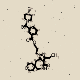 CCc1nn(CCCOC(=O)c2cccc(C(=O)N3CCN(C)CC3)c2)c2c1C(=O)NCC1(CCOCC1)C2